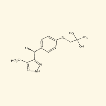 CC[C@@H](c1ccc(OCC(O)(O)C(F)(F)F)cc1)c1n[nH]cc1C(=O)O